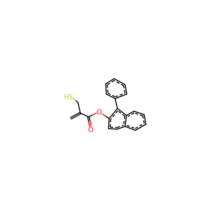 C=C(CS)C(=O)Oc1ccc2ccccc2c1-c1ccccc1